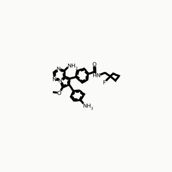 COc1c(-c2ccc(N)cc2)c(-c2ccc(C(=O)NCC3(F)CCC3)cc2)c2c(N)ncnn12